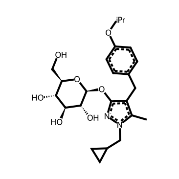 Cc1c(Cc2ccc(OC(C)C)cc2)c(O[C@@H]2O[C@H](CO)[C@@H](O)[C@H](O)[C@H]2O)nn1CC1CC1